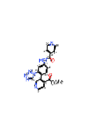 COC(=O)c1ccncc1-c1ccc(NC(=O)c2ccncc2)cc1-n1cnnn1